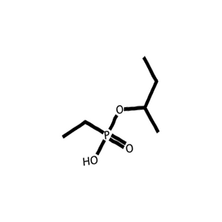 CCC(C)OP(=O)(O)CC